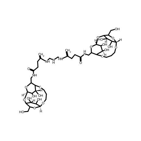 C=C(CCC(=O)NCC1O[C@@H]2OC3C(CO)O[C@H](OCCCCC1[C@H](O)C2O)C(O)[C@H]3O)NCNCNC(=C)CCC(=O)NCC1O[C@@H]2OC3C(CO)O[C@H](OCCCCC1[C@H](O)C2O)C(O)[C@H]3O